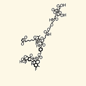 CC[C@@]1(O)C(=O)OCc2c1cc1n(c2=O)Cc2c-1nc1cc(F)c(C)c3c1c2[C@@H](NC(=O)OCc1ccc(NC(=O)[C@H](CCCCNC(=O)COCCOCCNC(=O)CN(CCN(CC(=O)O)CC(=O)O)CC(=O)O)NC(=O)[C@@H](NC(=O)CCCCCN2C(=O)C=CC2=O)C(C)C)cc1)CC3